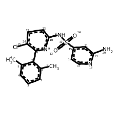 Cc1cccc(C)c1-c1nc(NS(=O)(=O)c2ccnc(N)c2)ccc1Cl